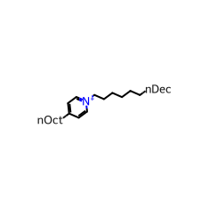 CCCCCCCCCCCCCCCC[n+]1ccc(CCCCCCCC)cc1